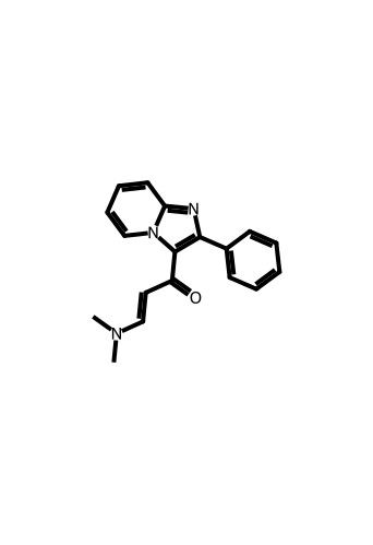 CN(C)/C=C/C(=O)c1c(-c2ccccc2)nc2ccccn12